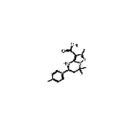 Cc1ccc(C2CC(C)(C)n3nc(C)c(C(=O)O)c3N2)cc1